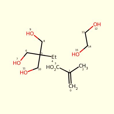 C=C(C)C(=O)O.CCC(CO)(CO)CO.OCCO